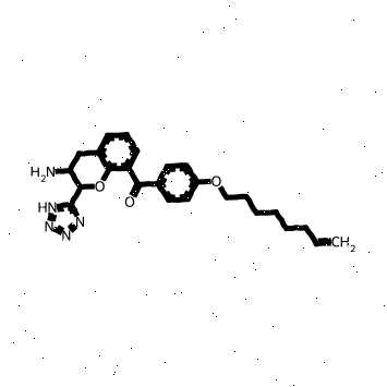 C=CCCCCCCOc1ccc(C(=O)c2cccc3c2OC(c2nnn[nH]2)C(N)C3)cc1